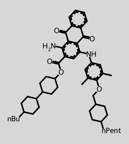 CCCCCC1CCC(COc2c(C)cc(Nc3cc(C(=O)OC4CCC(C5CCC(CCCC)CC5)CC4)c(N)c4c3C(=O)c3ccccc3C4=O)cc2C)CC1